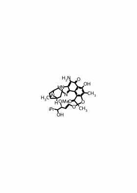 CO[C@@H](/C=C/O[C@@]1(C)Oc2c(C)c(O)c3c(c2C1=O)C1=N[C@@]2(CC4CC[C@@H](C2)N4C)NC1=C(N)C3=O)C(O)C(C)C